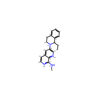 CCC1c2ccccc2CCN1c1cnc2c(NC)nccc2c1